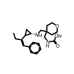 CCC(=Cc1ccccc1)C1C[C@@H]1NCC1(CNC(=O)O)CCOCC1